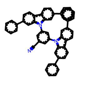 N#Cc1cc(-n2c3cc(-c4ccccc4)ccc3c3ccc(-c4ccccc4)cc32)cc(-n2c3cc(-c4ccccc4)ccc3c3ccc(-c4ccccc4)cc32)c1